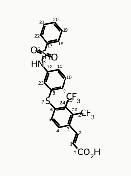 O=C(O)C=Cc1ccc(Sc2cccc(NS(=O)(=O)c3ccccc3)c2)c(C(F)(F)F)c1C(F)(F)F